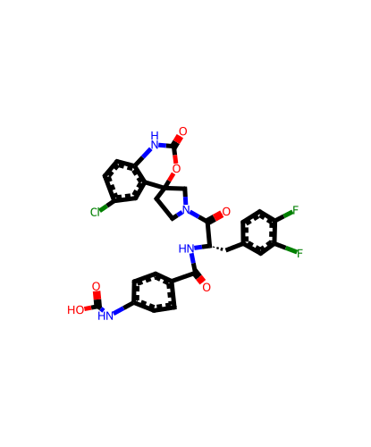 O=C(O)Nc1ccc(C(=O)N[C@@H](Cc2ccc(F)c(F)c2)C(=O)N2CCC3(C2)OC(=O)Nc2ccc(Cl)cc23)cc1